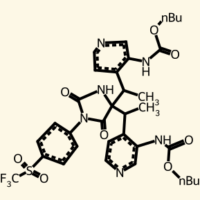 CCCCOC(=O)Nc1cnccc1C(C)C1(C(C)c2ccncc2NC(=O)OCCCC)NC(=O)N(c2ccc(S(=O)(=O)C(F)(F)F)cc2)C1=O